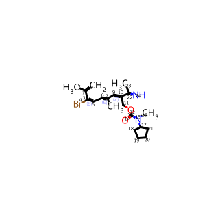 C=C(C)\C(Br)=C/C=C(C)/C=C(\COC(=O)N(C)C1CCCC1)C(C)=N